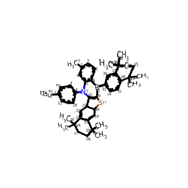 Cc1ccc2c(c1)N(c1ccc(C(C)(C)C)cc1)C1=C(SC3C=C4C(=CC13)C(C)(C)CCC4(C)C)B2c1ccc2c(c1)C(C)(C)CCC2(C)C